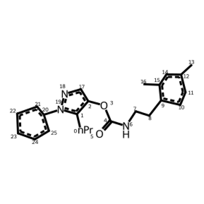 CCCc1c(OC(=O)NCCc2ccc(C)cc2C)cnn1-c1ccccc1